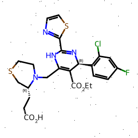 CCOC(=O)C1=C(CN2CCSC[C@H]2CCC(=O)O)NC(c2nccs2)=N[C@H]1c1ccc(F)cc1Cl